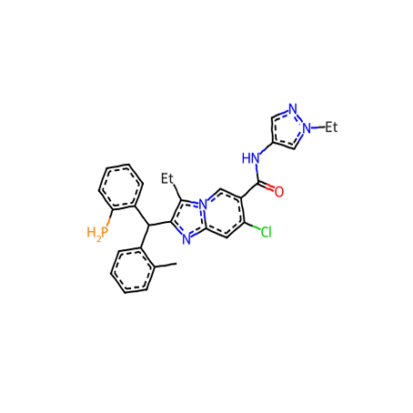 CCc1c(C(c2ccccc2C)c2ccccc2P)nc2cc(Cl)c(C(=O)Nc3cnn(CC)c3)cn12